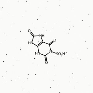 O=c1[nH]c2[nH]c(=O)n(S(=O)(=O)O)c(=O)c2[nH]1